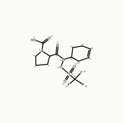 O=C(O)N1CCCC1C(=O)N(OS(=O)(=O)C(F)(F)F)C1CC=CCC1